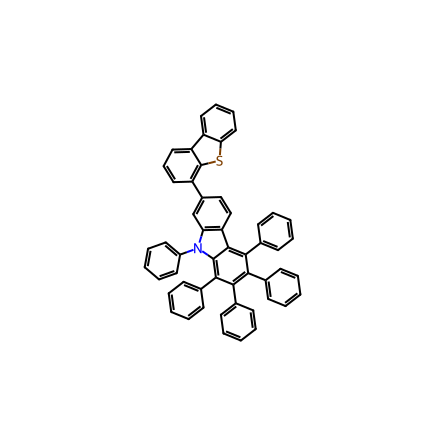 c1ccc(-c2c(-c3ccccc3)c(-c3ccccc3)c3c(c2-c2ccccc2)c2ccc(-c4cccc5c4sc4ccccc45)cc2n3-c2ccccc2)cc1